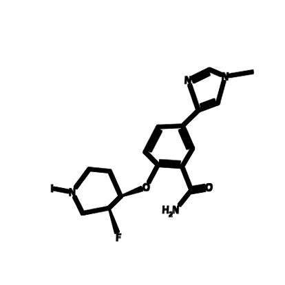 Cn1cnc(-c2ccc(O[C@@H]3CCN(I)C[C@@H]3F)c(C(N)=O)c2)c1